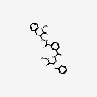 CC(C)(C)OC(=O)[C@@H](Cc1ccccc1)ONC(=O)c1cccc(C(=O)NO[C@H](Cc2ccccc2)C(=O)OC(C)(C)C)c1